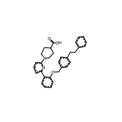 O=C(O)C1CCN(c2cccc(-c3ccccc3OCc3ccc(CCc4ccccc4)cc3)n2)CC1